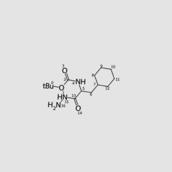 CC(C)(C)OC(=O)NC(CC1CCCCC1)C(=O)NN